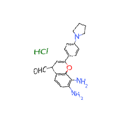 Cl.Nc1ccc2c(c1N)OC(c1ccc(N3CCCC3)cc1)=CC2C=O